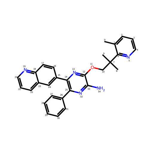 Cc1cccnc1C(C)(C)COc1nc(-c2ccc3ncccc3c2)c(-c2ccccc2)nc1N